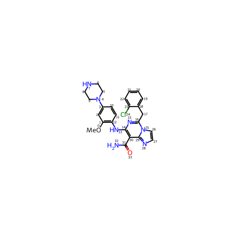 COc1cc(N2CCNCC2)ccc1Nc1nc(Cc2ccccc2Cl)n2ccnc2c1C(N)=O